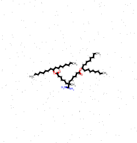 CCCCCCCCC(CCCCCCCC)OC(=O)CCCCCC(C)(CCCCCC(=O)OC(CCCCCCCC)CCCCCCCC)C(N)N